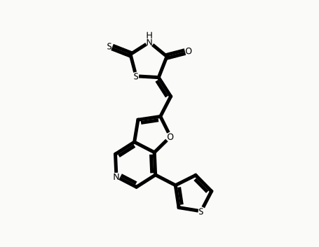 O=C1NC(=S)S/C1=C\c1cc2cncc(-c3ccsc3)c2o1